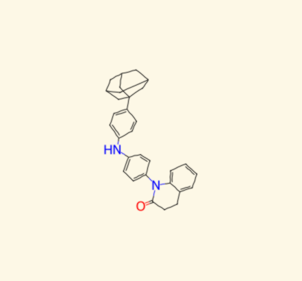 O=C1CCc2ccccc2N1c1ccc(Nc2ccc(C34CC5CC(CC(C5)C3)C4)cc2)cc1